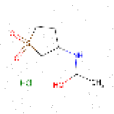 CC(O)NC1CCS(=O)(=O)C1.Cl